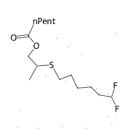 CCCCCC(=O)OCC(C)SCCCCCC(F)F